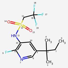 CCC(C)(C)c1cnc(F)c(NS(=O)(=O)CC(F)(F)F)c1